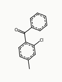 Cc1ccc(C(=O)c2ccccc2)c(Cl)c1